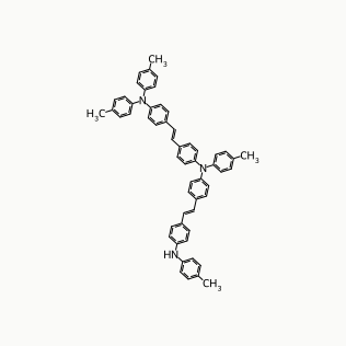 Cc1ccc(Nc2ccc(C=Cc3ccc(N(c4ccc(C)cc4)c4ccc(C=Cc5ccc(N(c6ccc(C)cc6)c6ccc(C)cc6)cc5)cc4)cc3)cc2)cc1